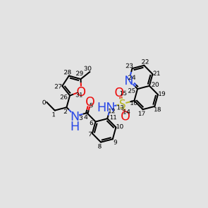 CCC(NC(=O)c1ccccc1NS(=O)(=O)c1cccc2cccnc12)c1ccc(C)o1